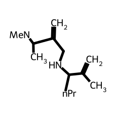 C=C(CNC(CCC)C(=C)C)C(C)NC